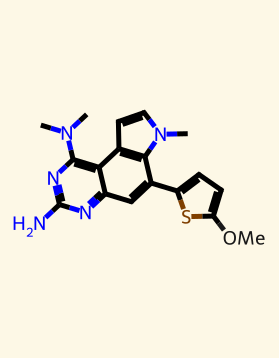 COc1ccc(-c2cc3nc(N)nc(N(C)C)c3c3ccn(C)c23)s1